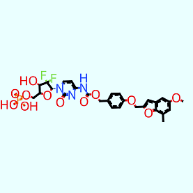 COc1cc(C)c2oc(COc3ccc(COC(=O)Nc4ccn([C@@H]5OC(COP(=O)(O)O)[C@@H](O)C5(F)F)c(=O)n4)cc3)cc2c1